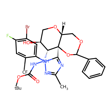 Cc1nc([C@@]23OC(c4ccccc4)OC[C@H]2OC[C@H](O)[C@H]3NNC(=O)OC(C)(C)C)n(-c2cc(Br)c(F)cc2C(F)(F)F)n1